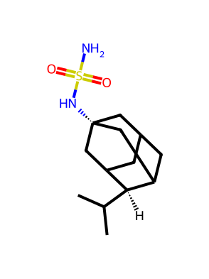 CC(C)[C@H]1C2CC3CC1C[C@](NS(N)(=O)=O)(C3)C2